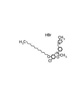 Br.CCCCCCCCCCCCCCOc1cc(CN(C(C)=O)c2cccc(CN3C=C(C)SC3)c2)ccc1Cl